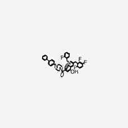 O=C(/C=C(/O)c1cc(Cc2c(F)ccc(F)c2F)cn(Cc2ccccc2F)c1=O)C(=O)N1CCN(c2ccc(-c3ccccc3)cc2)CC1